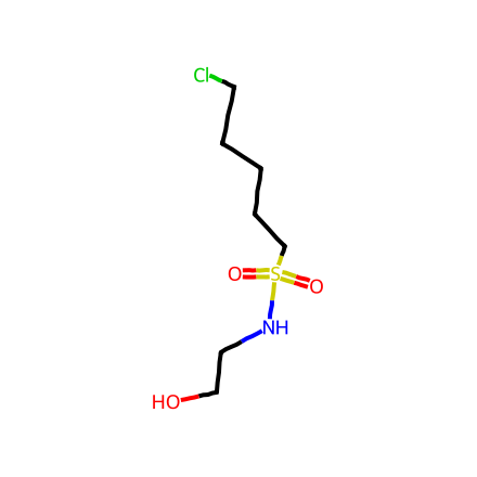 O=S(=O)(CCCCCCl)NCCO